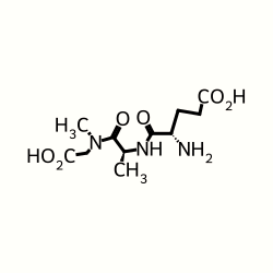 C[C@H](NC(=O)[C@@H](N)CCC(=O)O)C(=O)N(C)CC(=O)O